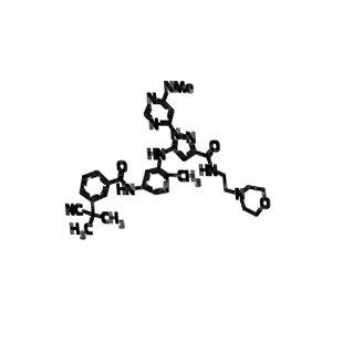 CNc1cc(-n2nc(C(=O)NCCN3CCOCC3)cc2Nc2cc(NC(=O)c3cccc(C(C)(C)C#N)c3)ccc2C)ncn1